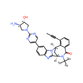 [2H]C([2H])([2H])N1C(=O)c2cccc(C#CC)c2[C@H]2C[C@@H]1c1nc3ccc(-c4cnc(N5C[C@@H](N)[C@H](O)C5)nc4)cc3n12